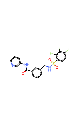 O=C(Nc1cccnc1)c1cccc(CNS(=O)(=O)c2ccc(F)c(F)c2F)c1